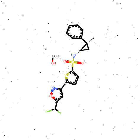 C[C@]1(c2ccccc2)C[C@@H]1NS(=O)(=O)c1ccc(-c2cc(C(F)F)on2)s1.O=C(O)O